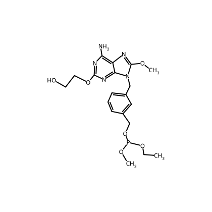 CCOP(OC)OCc1cccc(Cn2c(OC)nc3c(N)nc(OCCO)nc32)c1